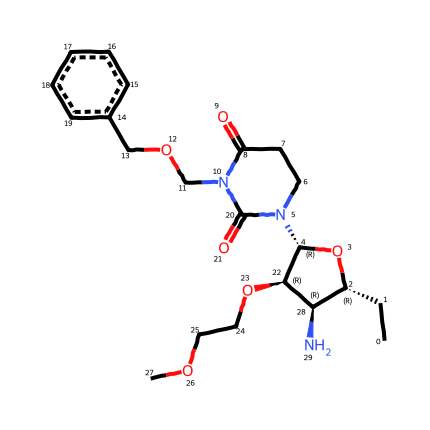 CC[C@H]1O[C@@H](N2CCC(=O)N(COCc3ccccc3)C2=O)[C@H](OCCOC)[C@@H]1N